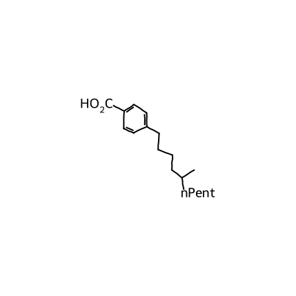 CCCCCC(C)CCCCc1ccc(C(=O)O)cc1